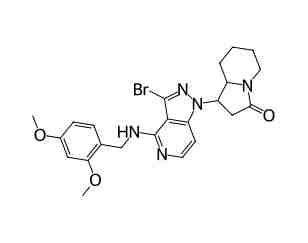 COc1ccc(CNc2nccc3c2c(Br)nn3C2CC(=O)N3CCCCC23)c(OC)c1